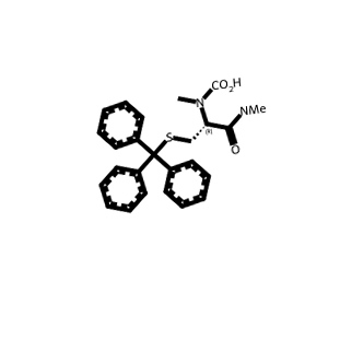 CNC(=O)[C@H](CSC(c1ccccc1)(c1ccccc1)c1ccccc1)N(C)C(=O)O